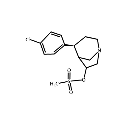 CS(=O)(=O)OC1CN2CC[C@H](c3ccc(Cl)cc3)C1C2